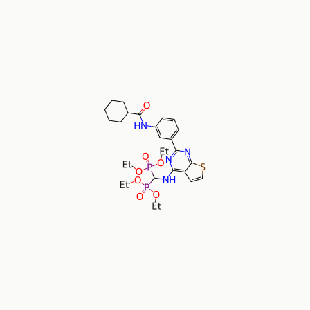 CCOP(=O)(OCC)C(Nc1nc(-c2cccc(NC(=O)C3CCCCC3)c2)nc2sccc12)P(=O)(OCC)OCC